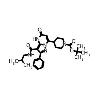 CC(C)CNC(=O)c1c(-c2ccccc2)nn2c(C3CCN(C(=O)OC(C)(C)C)CC3)cc(=O)[nH]c12